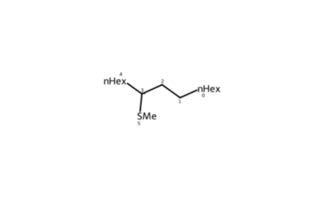 CCCCCCCC[C](CCCCCC)SC